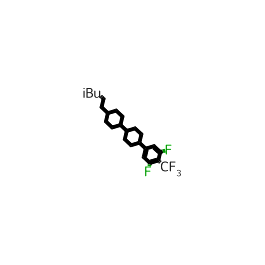 CCC(C)CCC1CCC(C2CCC(c3cc(F)c(C(F)(F)F)c(F)c3)CC2)CC1